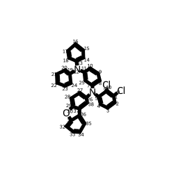 Clc1cccc(N(c2cccc(N(c3ccccc3)c3ccccc3)c2)c2ccc3oc4ccccc4c3c2)c1Cl